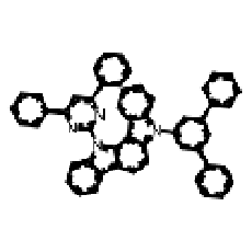 c1ccc(-c2cc(-c3ccccc3)cc(-n3c4ccccc4c4c3ccc3c5ccccc5n(-c5nc(-c6ccccc6)cc(-c6ccccc6)n5)c34)c2)cc1